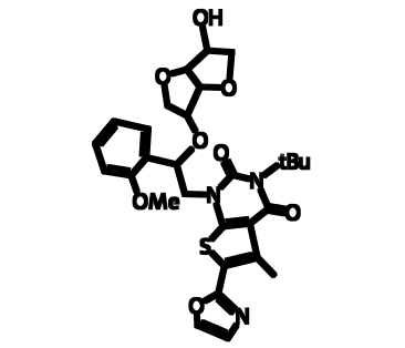 COc1ccccc1C(Cn1c(=O)n(C(C)(C)C)c(=O)c2c(C)c(-c3ncco3)sc21)OC1COC2C(O)COC12